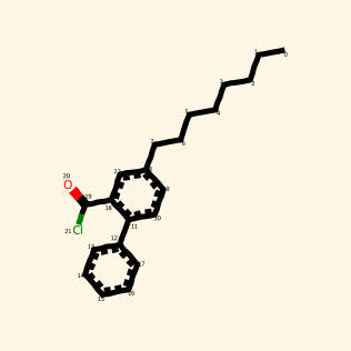 CCCCCCCCc1ccc(-c2ccccc2)c(C(=O)Cl)c1